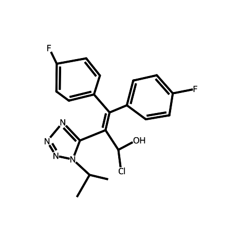 CC(C)n1nnnc1C(=C(c1ccc(F)cc1)c1ccc(F)cc1)C(O)Cl